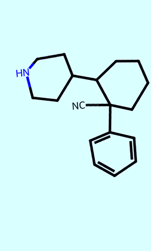 N#CC1(c2ccccc2)CCCCC1C1CCNCC1